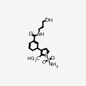 NS(=O)(=O)n1ccc(C2C=C(C(=O)NCCCO)C=CC2)c1C(=O)O